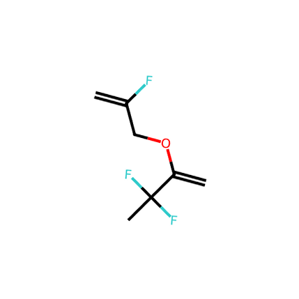 C=C(F)COC(=C)C(C)(F)F